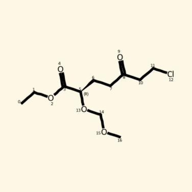 CCOC(=O)[C@@H](CCC(=O)CCCl)OCOC